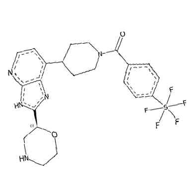 O=C(c1ccc(S(F)(F)(F)(F)F)cc1)N1CCC(c2ccnc3[nH]c([C@@H]4CNCCO4)nc23)CC1